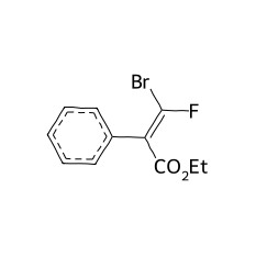 CCOC(=O)C(=C(F)Br)c1ccccc1